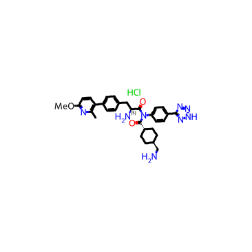 COc1ccc(-c2ccc(C[C@H](N)C(=O)N(c3ccc(-c4nn[nH]n4)cc3)C(=O)[C@H]3CC[C@H](CN)CC3)cc2)c(C)n1.Cl